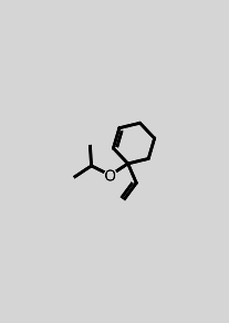 C=CC1(OC(C)C)C=CCCC1